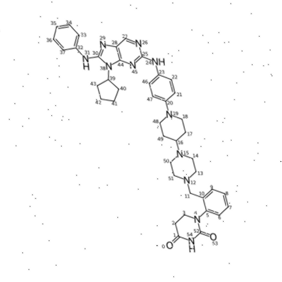 O=C1CCN(c2ccccc2CN2CCN(C3CCN(c4ccc(Nc5ncc6nc(Nc7ccccc7)n(C7CCCC7)c6n5)cc4)CC3)CC2)C(=O)N1